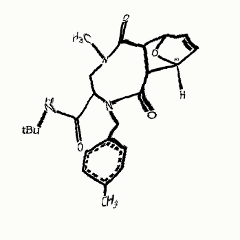 Cc1ccc(N2C(=O)C3C(C(=O)N(C)CC2C(=O)NC(C)(C)C)C2C=C[C@H]3O2)cc1